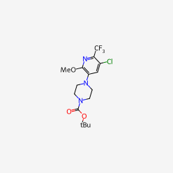 COc1nc(C(F)(F)F)c(Cl)cc1N1CCN(C(=O)OC(C)(C)C)CC1